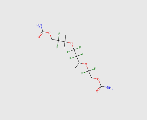 CC(OC(F)(F)COC(N)=O)C(F)(F)C(F)(F)OC(C)(C)C(F)(F)COC(N)=O